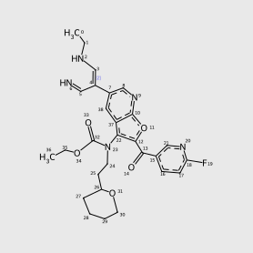 CCN/C=C(\C=N)c1cnc2oc(C(=O)c3ccc(F)nc3)c(N(CCC3CCCCO3)C(=O)OCC)c2c1